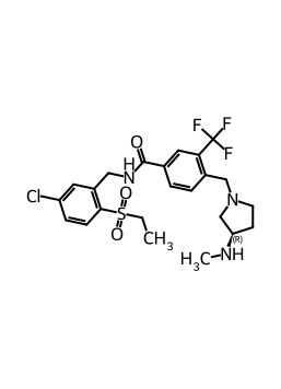 CCS(=O)(=O)c1ccc(Cl)cc1CNC(=O)c1ccc(CN2CC[C@@H](NC)C2)c(C(F)(F)F)c1